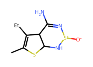 CCC1=C(C)SC2N[S+]([O-])N=C(N)C12